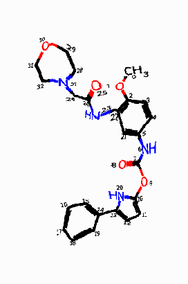 COc1ccc(NC(=O)Oc2ccc(-c3ccccc3)[nH]2)cc1NC(=O)CN1CCOCC1